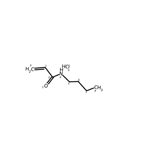 C=CC(=O)NCCCC.Cl